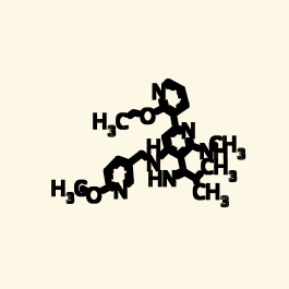 CCOc1ncccc1-c1cc(NCc2ccc(OC)nc2)c(C(=N)C(C)C)c(NC)n1